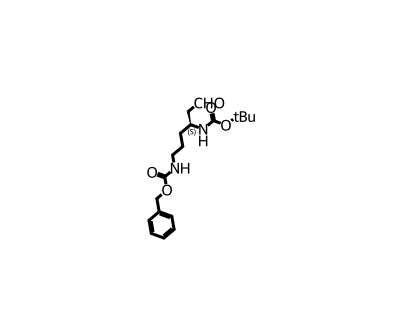 CC(C)(C)OC(=O)N[C@H](CC=O)CCCNC(=O)OCc1ccccc1